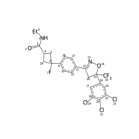 CCNC(=O)C1CC(F)(c2ccc(C3=NOC(c4cc(Cl)c(Cl)c(Cl)c4)(C(F)(F)F)C3)cc2)C1